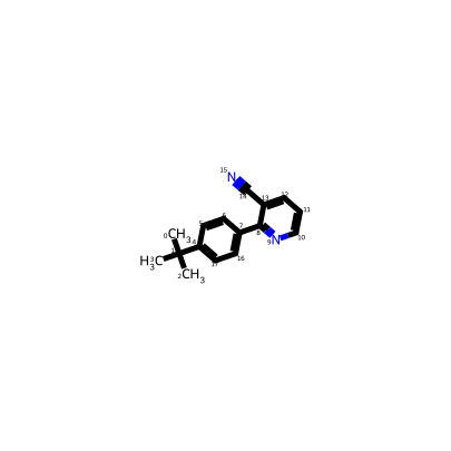 CC(C)(C)c1ccc(-c2ncccc2C#N)cc1